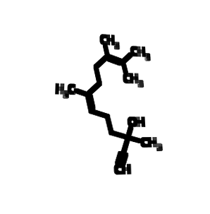 C#CC(C)(O)CCC=C(C)CCC(C)=C(C)C